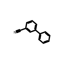 N#Cc1cccc(-c2cc[c]cc2)c1